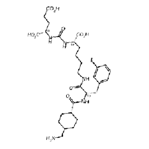 NC[C@H]1CC[C@H](C(=O)N[C@@H](Cc2cccc(I)c2)C(=O)NCCCC[C@H](NC(=O)N[C@@H](CCC(=O)O)C(=O)O)C(=O)O)CC1